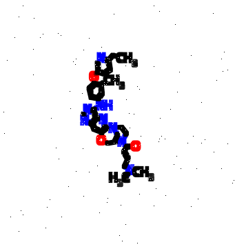 CCc1ccc(Oc2ccc(Nc3ncnc4cc5c(nc34)N3CCN(C(=O)/C=C/CN(C)C)C(CO5)C3)cc2C)cn1